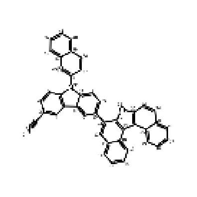 N#Cc1ccc2c(c1)c1cc(-c3cc4ccccc4c4c3oc3ccc5ccccc5c34)ccc1n2-c1ccc2ccccc2n1